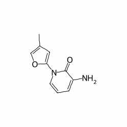 Cc1coc(-n2cccc(N)c2=O)c1